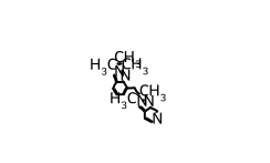 CC(C)(C)n1cc2cccc(CC(C)(C)n3cc4ccncc4n3)c2n1